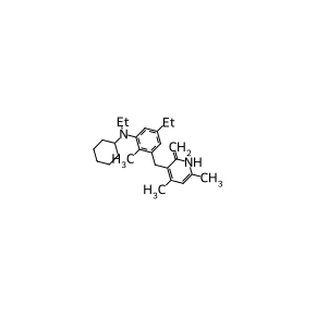 C=C1NC(C)=CC(C)=C1Cc1cc(CC)cc(N(CC)C2CCCCC2)c1C